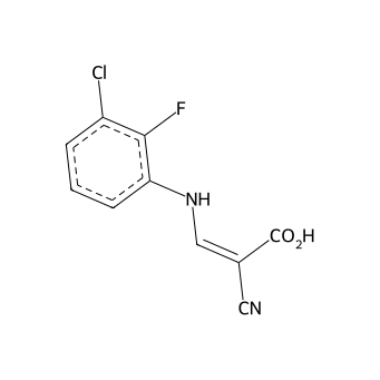 N#CC(=CNc1cccc(Cl)c1F)C(=O)O